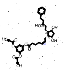 C#CC(=O)Oc1cc(OC(=O)C#C)cc(OC(=O)CCC/C=C\C[C@@H]2[C@@H](CC[C@@H](O)CCc3ccccc3)[C@H](O)C[C@@H]2O)c1